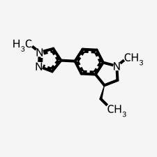 CC[C@@H]1CN(C)c2ccc(-c3cnn(C)c3)cc21